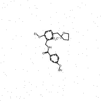 CCCOc1ccc(C(=O)NCc2cc(C[C@]3(C(=O)O)CCCO3)ccc2OCC)cc1